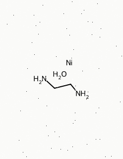 NCCN.O.[Ni]